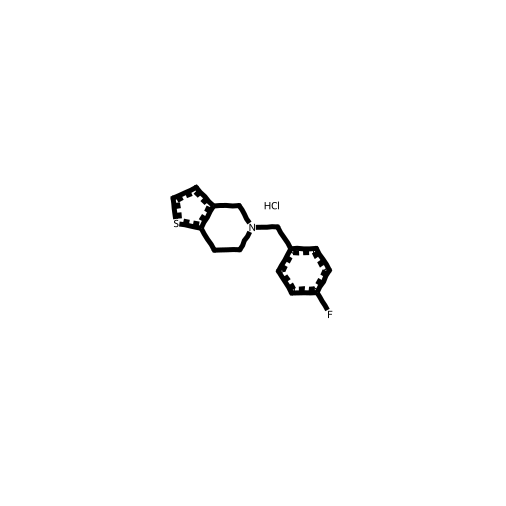 Cl.Fc1ccc(CN2CCc3sccc3C2)cc1